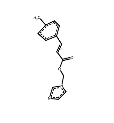 Cc1ccc(/C=C/C(=O)OCn2ccnc2)cc1